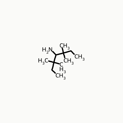 CCC(C)(C)C(N)C(C)(C)CC